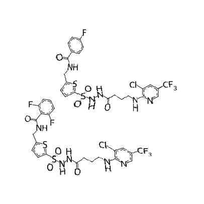 O=C(CCCNc1ncc(C(F)(F)F)cc1Cl)NNS(=O)(=O)c1ccc(CNC(=O)c2c(F)cccc2F)s1.O=C(CCCNc1ncc(C(F)(F)F)cc1Cl)NNS(=O)(=O)c1ccc(CNC(=O)c2ccc(F)cc2)s1